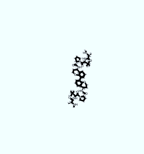 CN[C@@H](C)C(=O)NC(C(=O)N1CCC[C@H]1C(=O)N[C@@H]1CCOc2c(-c3cccc4c3OCC[C@H]4NC(=O)[C@@H]3CCCN3C(=O)[C@@H](NC(=O)[C@H](C)NC)C(C)(C)C)cccc21)C(C)(C)C